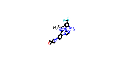 C[C@@H](Nc1nc2nccn2c2ccc(N3CC4(COC4)C3)cc12)c1cc(N)cc(C(F)(F)F)c1